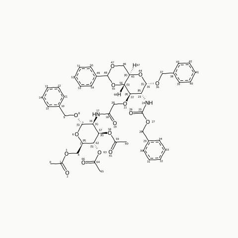 CC(=O)OC[C@H]1O[C@H](OCc2ccccc2)[C@@H](NC(=O)CO[C@@H]2[C@@H](NC(=O)OCc3ccccc3)[C@@H](OCc3ccccc3)O[C@@H]3COC(c4ccccc4)O[C@@H]23)[C@@H](OC(C)=O)[C@@H]1OC(C)=O